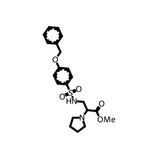 COC(=O)C(CNS(=O)(=O)c1ccc(OCc2ccccc2)cc1)N1CCCC1